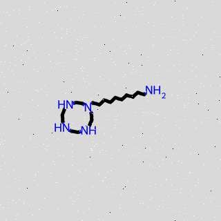 NCCCCCCCCCCN1CCCNCCNCCCNCC1